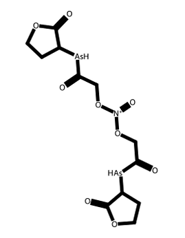 O=C(CO[N+](=O)OCC(=O)[AsH]C1CCOC1=O)[AsH]C1CCOC1=O